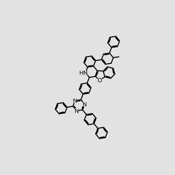 CC1CC=C(c2cccc3c2-c2c(oc4ccccc24)C(c2ccc(-c4nc(-c5ccccc5)nc(-c5ccc(-c6ccccc6)cc5)n4)cc2)N3)C=C1c1ccccc1